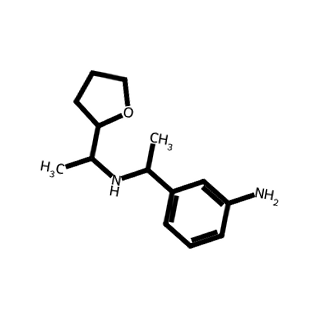 CC(NC(C)C1CCCO1)c1cccc(N)c1